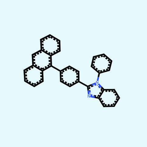 c1ccc(-n2c(-c3ccc(-c4c5ccccc5cc5ccccc45)cc3)nc3ccccc32)cc1